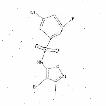 Cc1noc(NS(=O)(=O)c2cc(F)cc(Cl)c2)c1Br